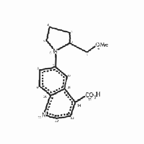 COCC1CCCN1c1ccc2nccc(C(=O)O)c2c1